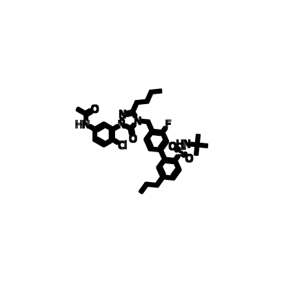 CCCCc1nn(-c2cc(NC(C)=O)ccc2Cl)c(=O)n1Cc1ccc(-c2cc(CCC)ccc2S(=O)(=O)NC(C)(C)C)cc1F